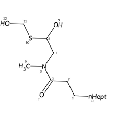 CCCCCCCCCC(=O)N(C)CC(O)SCO